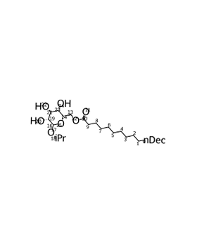 CCCCCCCCCCCCCCCCCCCC(=O)OC[C@H]1OC(OC(C)C)[C@H](O)[C@@H](O)[C@@H]1O